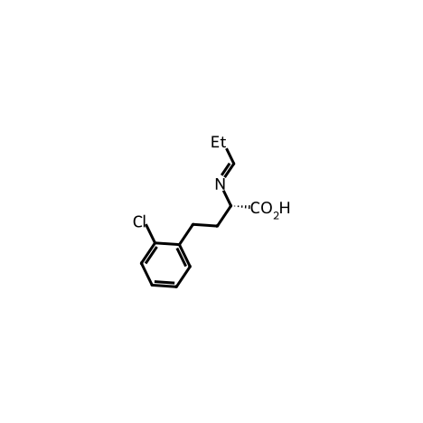 CC/C=N/[C@@H](CCc1ccccc1Cl)C(=O)O